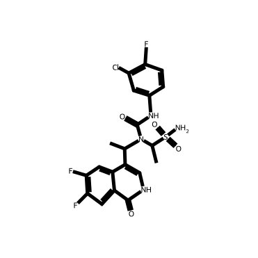 CC(c1c[nH]c(=O)c2cc(F)c(F)cc12)N(C(=O)Nc1ccc(F)c(Cl)c1)C(C)S(N)(=O)=O